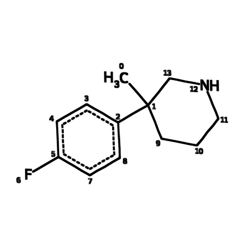 CC1(c2ccc(F)cc2)CCCNC1